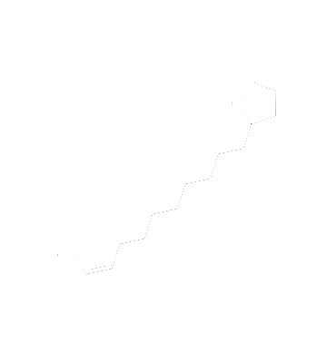 CCCCCCCC/C=C\CCCCCCCCC1CCOO1